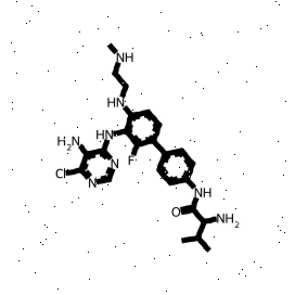 CNCCNc1ccc(-c2ccc(NC(=O)C(N)C(C)C)cc2)c(F)c1Nc1ncnc(Cl)c1N